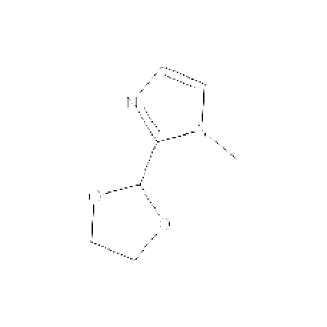 Cn1ccnc1C1OCCO1